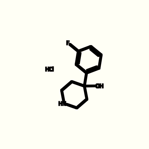 Cl.OC1(c2cccc(F)c2)CCNCC1